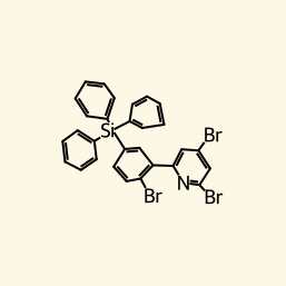 Brc1cc(Br)nc(-c2cc([Si](c3ccccc3)(c3ccccc3)c3ccccc3)ccc2Br)c1